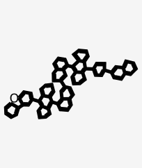 c1ccc2cc(-c3ccc(-c4c5ccccc5c(-c5cccc6ccc(-c7ccc8cccc(-c9c%10ccccc%10c(-c%10ccc%11oc%12ccccc%12c%11c%10)c%10ccccc9%10)c8c7)cc56)c5ccccc45)cc3)ccc2c1